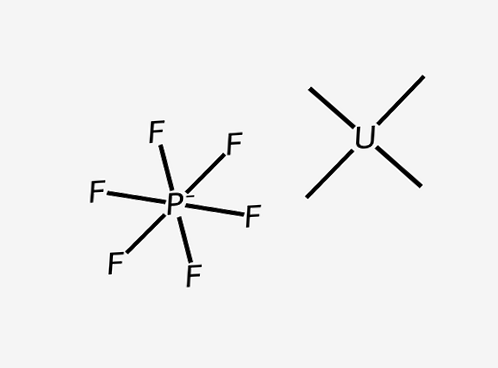 F[P-](F)(F)(F)(F)F.[CH3][U]([CH3])([CH3])[CH3]